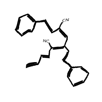 C=CC=CC(C#N)=C(C=Cc1ccccc1)C=C(C#N)C=Cc1ccccc1